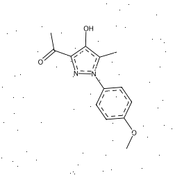 COc1ccc(-n2nc(C(C)=O)c(O)c2C)cc1